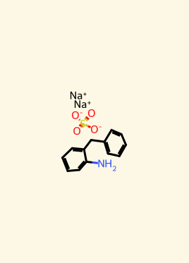 Nc1ccccc1Cc1ccccc1.O=S(=O)([O-])[O-].[Na+].[Na+]